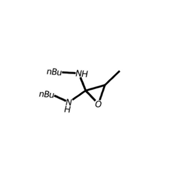 CCCCNC1(NCCCC)OC1C